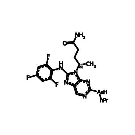 CCC[AsH]c1ncc2nc(Nc3c(F)cc(F)cc3F)n([C@@H](C)CCC(N)=O)c2n1